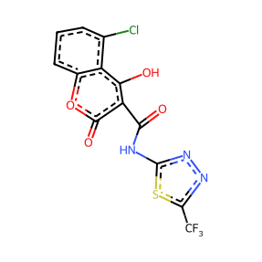 O=C(Nc1nnc(C(F)(F)F)s1)c1c(O)c2c(Cl)cccc2oc1=O